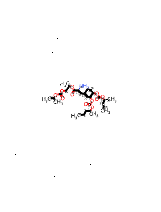 CCCC(C)OC(=O)Oc1cc(C[C@H](N)C(=O)OC(C)COC(=O)OC(C)C)ccc1OC(=O)O[C@@H](C)CCC